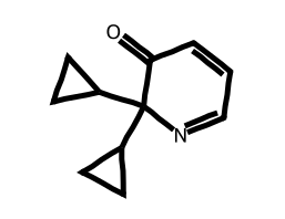 O=C1C=CC=NC1(C1CC1)C1CC1